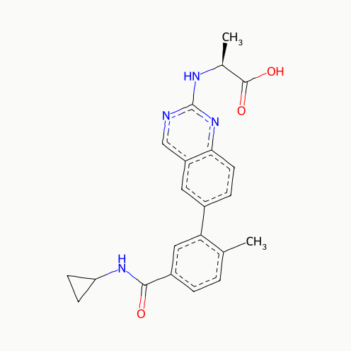 Cc1ccc(C(=O)NC2CC2)cc1-c1ccc2nc(N[C@@H](C)C(=O)O)ncc2c1